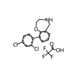 Clc1ccc(-c2cccc3c2OCCNC3)c(Cl)c1.O=C(O)C(F)(F)F